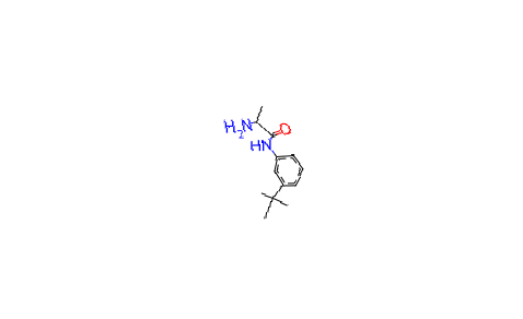 CC(N)C(=O)Nc1cccc(C(C)(C)C)c1